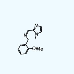 COc1ccccc1C/N=C\c1nccn1C